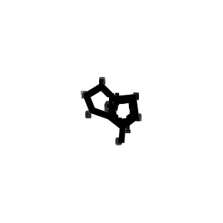 Cc1ccn2c1CCC2